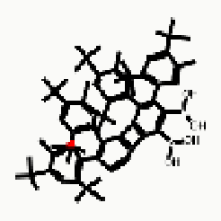 Cc1cc(-c2ccc3c(c2-c2cc(C)c(C(C)(C)C)cc2C(C)(C)C)-c2c(-c4cc(C)c(C(C)(C)C)cc4C(C)(C)C)c(-c4cc(C)c(C(C)(C)C)cc4C(C)(C)C)c(P(O)O)c(P(O)O)c2-3)c(C(C)(C)C)cc1C(C)(C)C